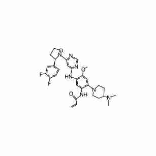 C=CC(=O)Nc1cc(Nc2cc(N3OCC[C@@H]3c3ccc(F)c(F)c3)ncn2)c(OC)cc1N1CCC(N(C)C)CC1